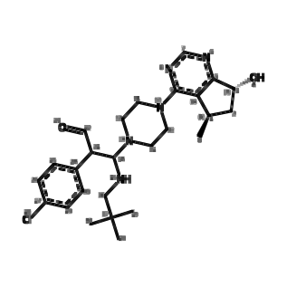 C[C@@H]1C[C@@H](O)c2ncnc(N3CCN(C(NCC(C)(C)C)C(C=O)c4ccc(Cl)cc4)CC3)c21